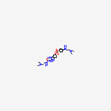 CCN(CC)CCNC(=O)Nc1nc2ccc(OS(=O)(=O)c3ccc(NCCN(CC)CC)cc3)cc2[nH]1